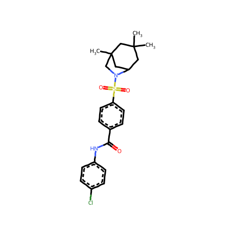 CC1(C)CC2CC(C)(CN2S(=O)(=O)c2ccc(C(=O)Nc3ccc(Cl)cc3)cc2)C1